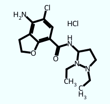 CCN1CCC(NC(=O)c2cc(Cl)c(N)c3c2OCC3)N1CC.Cl